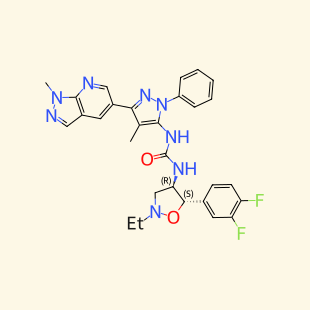 CCN1C[C@@H](NC(=O)Nc2c(C)c(-c3cnc4c(cnn4C)c3)nn2-c2ccccc2)[C@H](c2ccc(F)c(F)c2)O1